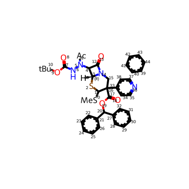 CSC1S[C@@H]2C(N(NC(=O)OC(C)(C)C)C(C)=O)C(=O)N2CC1(C(=O)OC(c1ccccc1)c1ccccc1)c1ccncc1.c1ccccc1